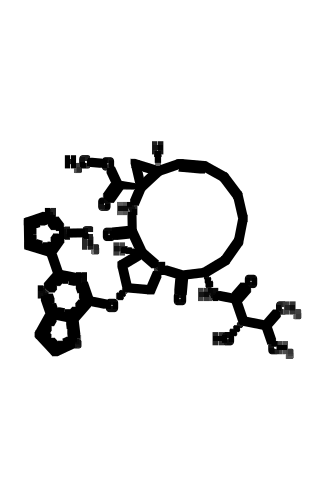 COC(=O)[C@@]12C[C@H]1/C=C\CCCCC[C@H](NC(=O)[C@@H](O)C(C)C)C(=O)N1C[C@H](Oc3nc(-c4ccnn4C)nc4ccsc34)C[C@H]1C(=O)N2